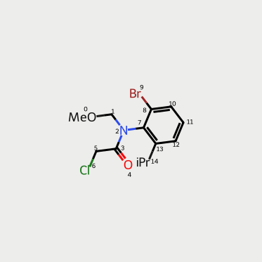 COCN(C(=O)CCl)c1c(Br)cccc1C(C)C